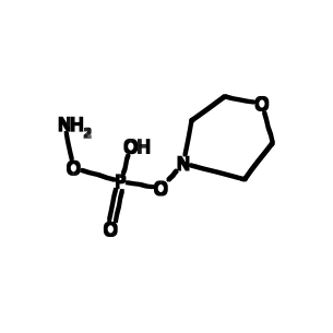 NOP(=O)(O)ON1CCOCC1